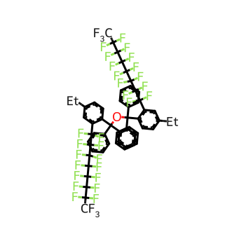 CCc1ccc(C(OC(c2ccccc2)(c2ccccc2)c2ccc(CC)cc2C(F)(F)C(F)(F)C(F)(F)C(F)(F)C(F)(F)C(F)(F)C(F)(F)C(F)(F)F)(c2ccccc2)c2ccccc2)c(C(F)(F)C(F)(F)C(F)(F)C(F)(F)C(F)(F)C(F)(F)C(F)(F)C(F)(F)F)c1